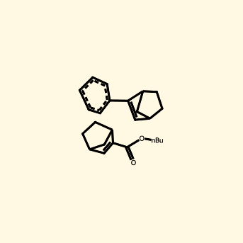 C1=C(c2ccccc2)C2CCC1C2.CCCCOC(=O)C1=CC2CCC1C2